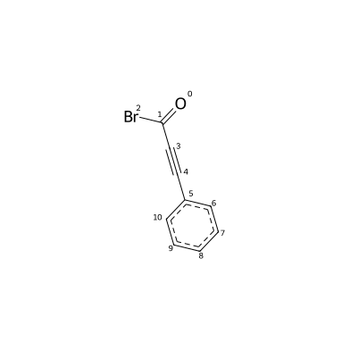 O=C(Br)C#Cc1ccccc1